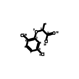 CC(Oc1cc(Cl)ccc1Cl)C(=O)Cl